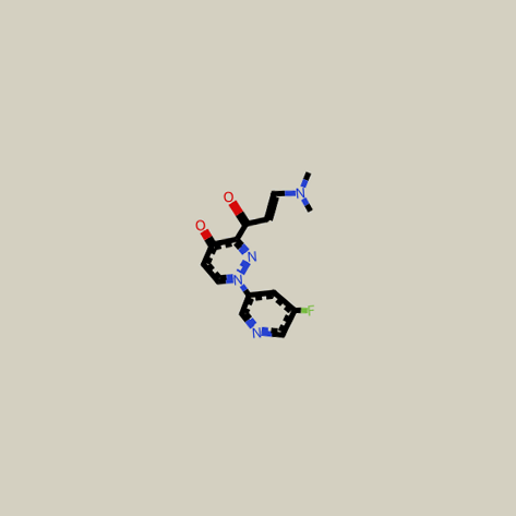 CN(C)C=CC(=O)c1nn(-c2cncc(F)c2)ccc1=O